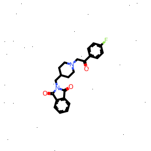 O=C(CN1CCC(CN2C(=O)c3ccccc3C2=O)CC1)c1ccc(F)cc1